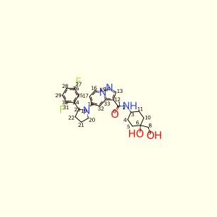 O=C(NC1CCC(O)(CO)CC1)c1cnn2ccc(N3CCCC3c3cc(F)ccc3F)cc12